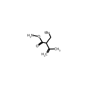 C=C(C)C(CC(C)(C)C)C(=O)ON